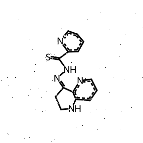 S=C(N/N=C1/CCNc2cccnc21)c1ccccn1